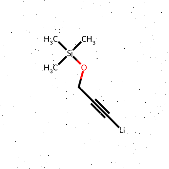 [Li][C]#CCO[Si](C)(C)C